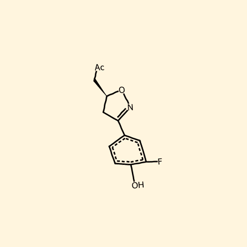 CC(=O)C[C@@H]1CC(c2ccc(O)c(F)c2)=NO1